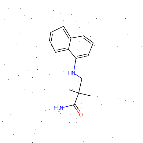 CC(C)(CNc1cccc2ccccc12)C(N)=O